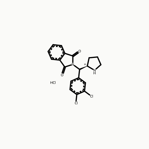 Cl.O=C1c2ccccc2C(=O)N1C(c1ccc(Cl)c(Cl)c1)[C@H]1CCCN1